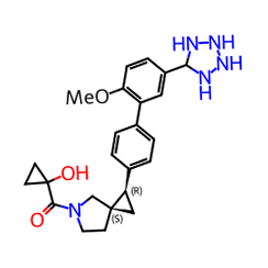 COc1ccc(C2NNNN2)cc1-c1ccc([C@H]2C[C@]23CCN(C(=O)C2(O)CC2)C3)cc1